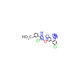 O=C(O)Cc1cccc(-c2[nH]c([C@@H]3CCc4cc(-c5cc(Cl)ccc5-n5cnnn5)cc(=O)n43)nc2Cl)c1